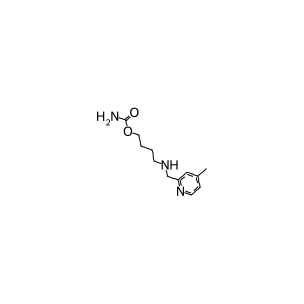 Cc1ccnc(CNCCCCOC(N)=O)c1